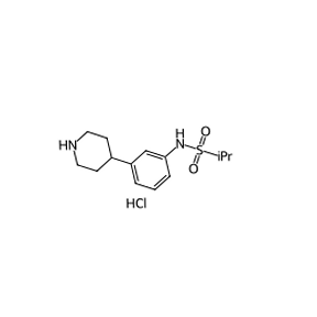 CC(C)S(=O)(=O)Nc1cccc(C2CCNCC2)c1.Cl